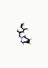 CCC(C)C=C(C)CN1CCCCC1